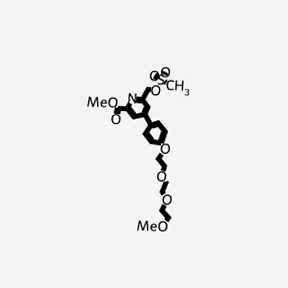 COCCOCCOCCOc1ccc(-c2cc(COS(C)(=O)=O)nc(C(=O)OC)c2)cc1